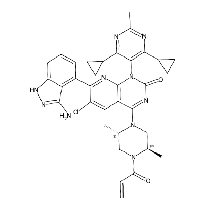 C=CC(=O)N1C[C@H](C)N(c2nc(=O)n(-c3c(C4CC4)nc(C)nc3C3CC3)c3nc(-c4cccc5[nH]nc(N)c45)c(Cl)cc23)C[C@H]1C